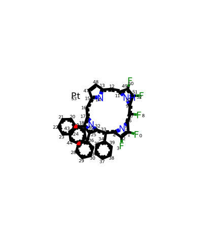 FC1=C(F)c2nc1c(F)c1[nH]c(cc3nc(cc4c(-c5ccccc5)c(-c5ccccc5)c(c2-c2ccccc2)n4-c2ccccc2)C=C3)c(F)c1F.[Pt]